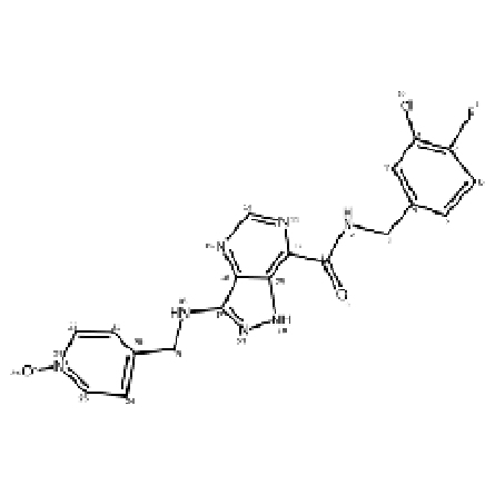 O=C(NCc1ccc(F)c(Cl)c1)c1ncnc2c(NCc3cc[n+]([O-])cc3)n[nH]c12